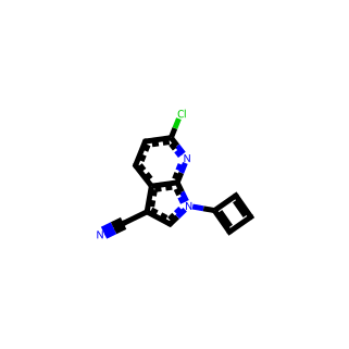 N#Cc1cn(C2=CC=C2)c2nc(Cl)ccc12